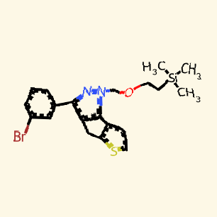 C[Si](C)(C)CCOCn1nc(-c2cccc(Br)c2)c2c1-c1ccsc1C2